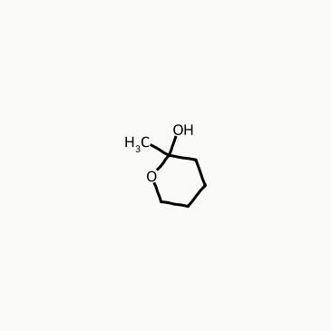 CC1(O)CCCCO1